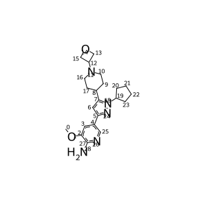 COc1cc(-c2cc(C3CCN(C4COC4)CC3)n(C3CCCC3)n2)cnc1N